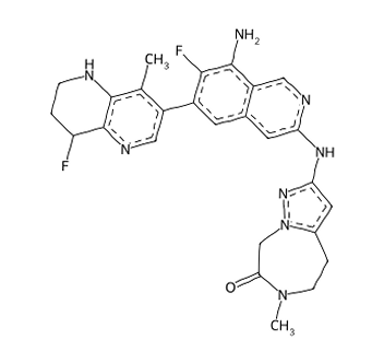 Cc1c(-c2cc3cc(Nc4cc5n(n4)CC(=O)N(C)CC5)ncc3c(N)c2F)cnc2c1NCCC2F